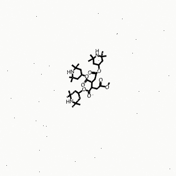 COC(=O)CC(C(=O)OC1CC(C)(C)NC(C)(C)C1)C(CC(=O)OC1CC(C)(C)NC(C)(C)C1)C(=O)OC1CC(C)(C)NC(C)(C)C1